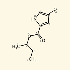 CCC(C)OC(=O)c1cc([O])c[nH]1